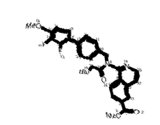 COC(=O)c1ccc2c(N(Cc3ccc(-c4ccc(OC)c(F)c4F)cc3)C(=O)CC(C)(C)C)nccc2c1